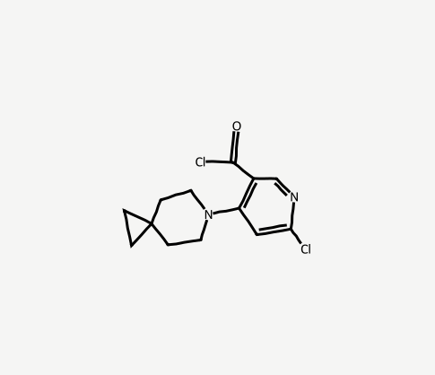 O=C(Cl)c1cnc(Cl)cc1N1CCC2(CC1)CC2